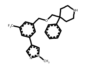 Cn1cc(-c2cc(COCC3(c4ccccc4)CCNCC3)cc(C(F)(F)F)c2)cn1